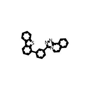 c1cc(-c2cccc3c2sc2ccccc23)cc(-c2nnc3c4ccccc4ccn23)c1